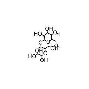 CC(OC1=C(O)C(O)C(OI)C(COI)O1)C(CO)OC(O)C(O)O